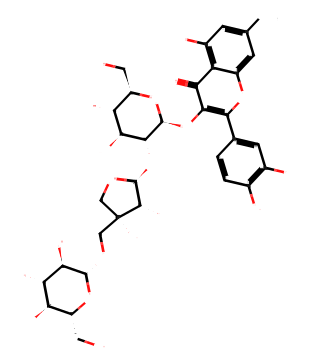 Cc1cc(O)c2c(=O)c(O[C@@H]3O[C@H](CO)[C@@H](O)[C@H](O)[C@H]3O[C@@H]3OC[C@](O)(CO[C@@H]4O[C@H](CO)[C@@H](O)[C@H](O)[C@H]4O)[C@H]3O)c(-c3ccc(O)c(O)c3)oc2c1